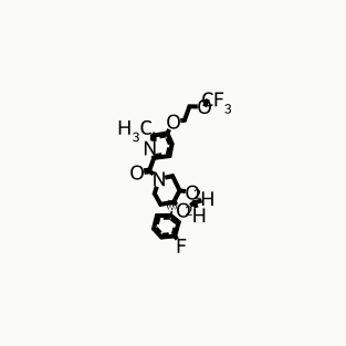 [2H]C1([2H])OC2CN(C(=O)c3ccc(OCCOC(F)(F)F)c(C)n3)CC[C@]2(c2cccc(F)c2)O1